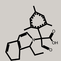 CCC1C2=C(C=CCC2)C=CN1C(C=O)(C(=O)O)c1c(C)cc(C)cc1C